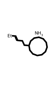 CCC=CCCC1CCCCCCCCCCC1.N